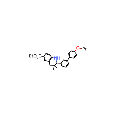 CCOC(=O)c1ccc2c(c1)CC(C)(C)C(c1cccc(-c3ccc(OC(C)C)cc3)c1)N2